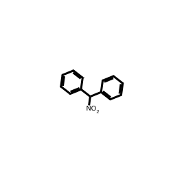 O=[N+]([O-])C(c1[c]cccc1)c1ccccc1